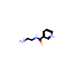 NCC[N]C(=O)c1cccnc1